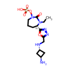 CCN1C(=O)N(OS(=O)(=O)O)CCC[C@H]1c1nnc(CN[C@H]2C[C@H](N)C2)o1